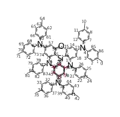 Cc1ccc(N(c2ccc(C)cc2)c2cc3c4c(c2)N(c2ccc(C)cc2)c2cc(N(c5ccc(C)cc5)c5ccc(C)cc5)cc5c2[Si]4(c2ccccc2)c2c(cc(N(c4ccc(C)cc4)c4ccc(C)cc4)cc2N5c2ccc(C)cc2)O3)cc1